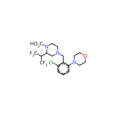 O=C(O)N1CCN(Cc2c(Cl)cccc2N2CCOCC2)CC1C(C(F)(F)F)C(F)(F)F